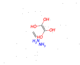 C=C.N.N.OC(O)=C(O)O